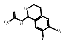 O=C(NC1NCCc2cc([N+](=O)[O-])c(F)cc21)C(F)(F)F